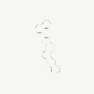 c1ccc2oc3ccc4c(ccc5nc(-c6nccc7ccccc67)nc54)c3cc2c1